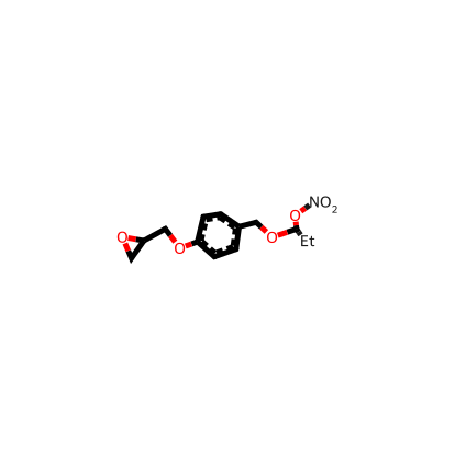 CCC(OCc1ccc(OCC2CO2)cc1)O[N+](=O)[O-]